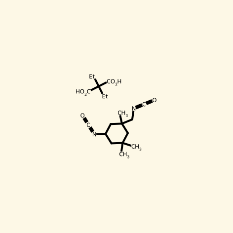 CC1(C)CC(N=C=O)CC(C)(CN=C=O)C1.CCC(CC)(C(=O)O)C(=O)O